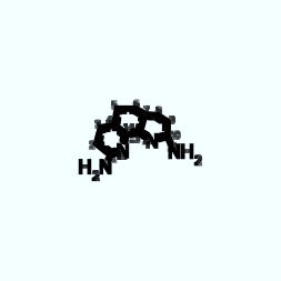 Nc1ccc2ccc3ccc(N)nc3c2n1